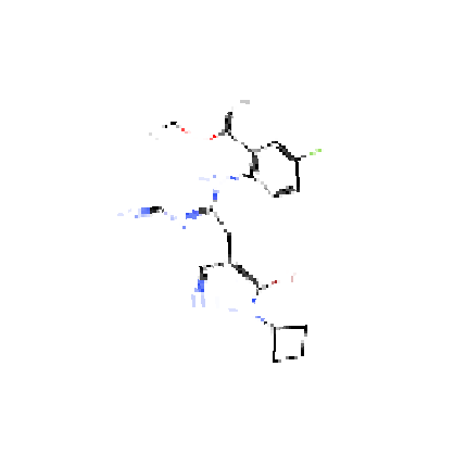 C=C(OCC)c1cc(F)ccc1N/C(C/C(C=N)=C(\Br)NC1CCC1)=N\C=N